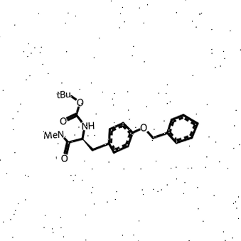 CNC(=O)[C@H](Cc1ccc(OCc2ccccc2)cc1)NC(=O)OC(C)(C)C